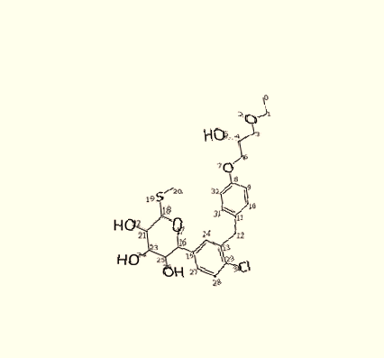 CCOC[C@@H](O)COc1ccc(Cc2cc(C3OC(SC)C(O)C(O)C3O)ccc2Cl)cc1